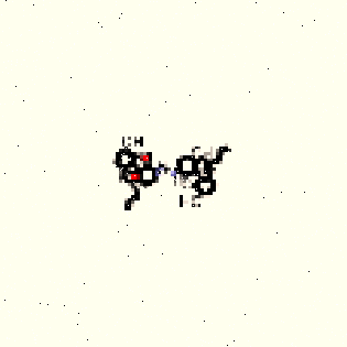 C=CCN1CC[C@]23c4c5ccc(O)c4O[C@H]2/C(=N/N=C2\CC[C@@]4(O)C6Cc7ccc(O)c8c7[C@@]4(CCN6CC=C)[C@H]2O8)CC[C@@]3(O)C1C5